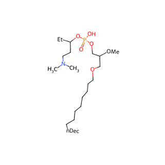 CCCCCCCCCCCCCCCCCCOCC(COP(=O)(O)OC(CC)CCN(C)C)OC